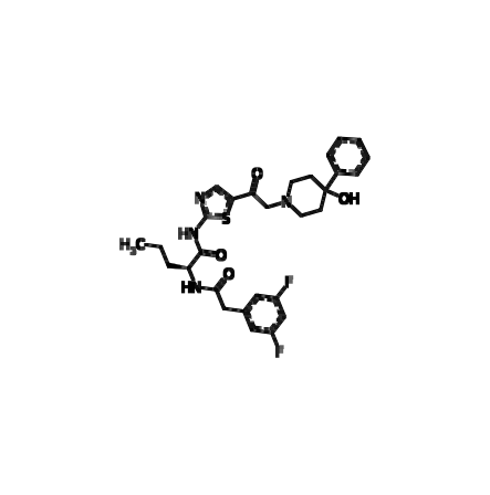 CCC[C@H](NC(=O)Cc1cc(F)cc(F)c1)C(=O)Nc1ncc(C(=O)CN2CCC(O)(c3ccccc3)CC2)s1